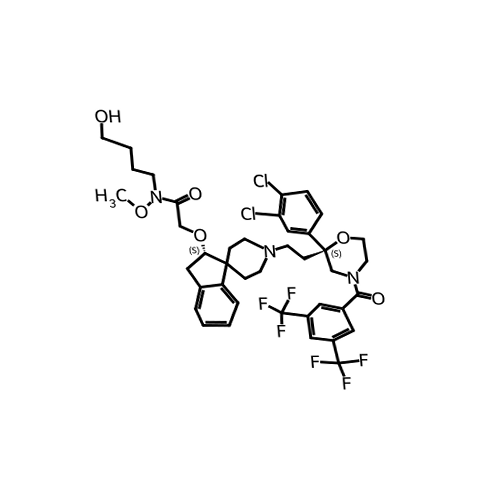 CON(CCCCO)C(=O)CO[C@H]1Cc2ccccc2C12CCN(CC[C@]1(c3ccc(Cl)c(Cl)c3)CN(C(=O)c3cc(C(F)(F)F)cc(C(F)(F)F)c3)CCO1)CC2